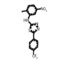 Cc1ccc([N+](=O)[O-])cc1Nc1nnc(-c2ccc(C(F)(F)F)cc2)s1